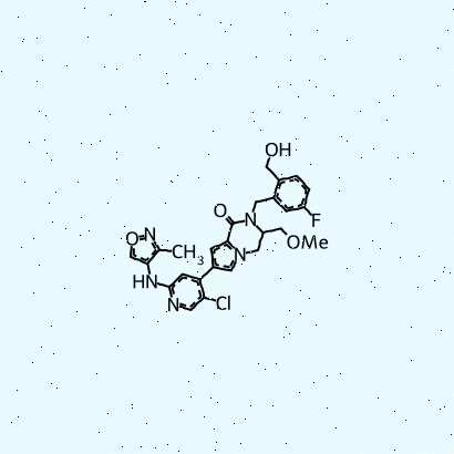 COCC1Cn2cc(-c3cc(Nc4conc4C)ncc3Cl)cc2C(=O)N1Cc1cc(F)ccc1CO